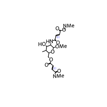 CNOC(=O)/C=C/C(=O)NC1C(OC)OC(COC(=O)/C=C/C(=O)NC)C(C)C1O